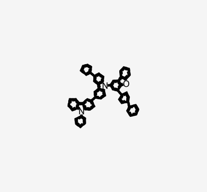 c1ccc(-c2ccc(-c3cc(-n4c5ccc(-c6ccccc6)cc5c5cc(-c6ccc7c(c6)c6ccccc6n7-c6ccccc6)ccc54)cc4c3oc3ccccc34)cc2)cc1